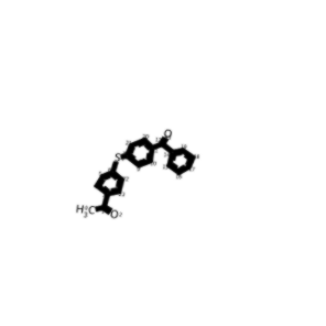 CC(=O)c1ccc(Sc2ccc(C(=O)c3ccccc3)cc2)cc1